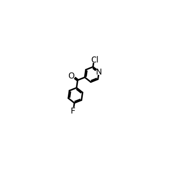 O=C(c1ccc(F)cc1)c1ccnc(Cl)c1